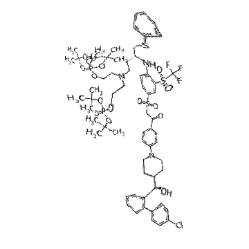 CC(C)(C)OP(=O)(OCCN(CCOP(=O)(OC(C)(C)C)OC(C)(C)C)CC[C@H](CSc1ccccc1)Nc1ccc(S(=O)(=O)CC(=O)c2ccc(N3CCC([C@@H](O)c4ccccc4-c4ccc(Cl)cc4)CC3)cc2)cc1S(=O)(=O)C(F)(F)F)OC(C)(C)C